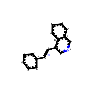 C(=C\c1cncc2ccccc12)/c1ccccc1